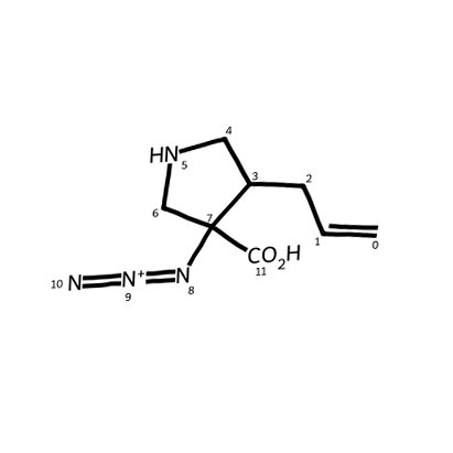 C=CCC1CNCC1(N=[N+]=[N-])C(=O)O